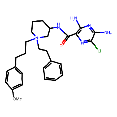 COc1ccc(CCC[N+]2(CCc3ccccc3)CCCC(NC(=O)c3nc(Cl)c(N)nc3N)C2)cc1